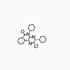 O=c1c2ccccc2c2nc(Cl)c(-c3ccccc3)nc2n1-c1ccccc1